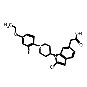 CCOc1ccc(N2CCC(n3c(Cl)cc4ccc(CC(=O)O)cc43)CC2)c(F)c1